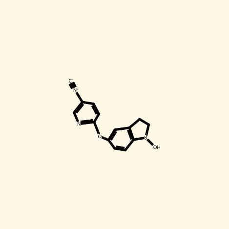 [C-]#[N+]c1ccc(Oc2ccc3c(c2)CCB3O)nc1